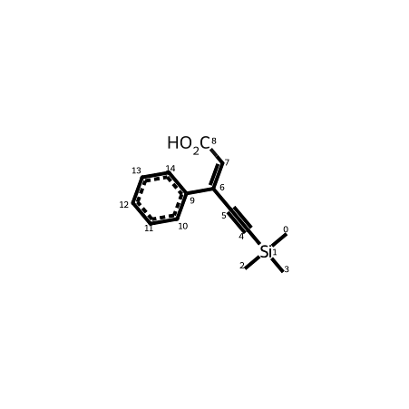 C[Si](C)(C)C#C/C(=C/C(=O)O)c1ccccc1